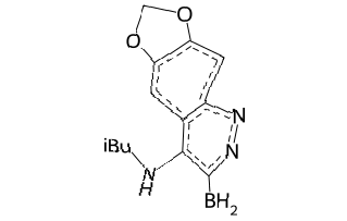 Bc1nnc2cc3c(cc2c1NC(C)CC)OCO3